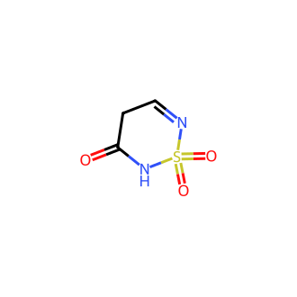 O=C1CC=NS(=O)(=O)N1